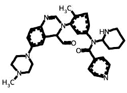 Cc1ccc(N(C(=O)c2ccncc2)C2CCCCN2)cc1N1C=Nc2ccc(N3CCN(C)CC3)cc2C1C=O